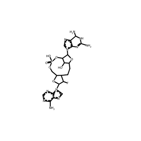 NC1=Nc2c(ncn2C2OC3CCC4C(COP(=O)(O)OC2C3O)OC(n2cnc3c(N)ncnc32)C4F)C(N)N1